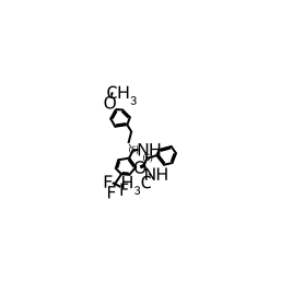 CNC(=O)[C@@H](N[C@@H](CCc1ccc(OC)cc1)c1ccc(C(F)(F)F)cc1)c1ccccc1